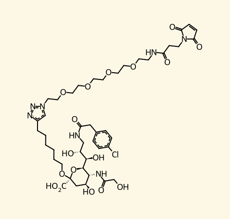 O=C(CCN1C(=O)C=CC1=O)NCCOCCOCCOCCOCCn1cc(CCCCCCO[C@]2(C(=O)O)C[C@H](O)[C@@H](NC(=O)CO)[C@H]([C@H](O)[C@H](O)CNC(=O)Cc3ccc(Cl)cc3)O2)nn1